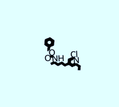 CCc1cc(CCCC(C)NC(=O)OCc2ccccc2)cc(Cl)n1